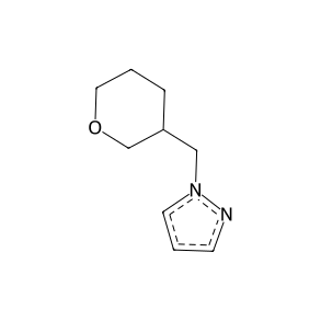 c1cnn(CC2CCCOC2)c1